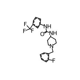 O=C(Nc1cccc(C(F)(F)F)c1)NC1CCN(Cc2ccccc2F)CC1